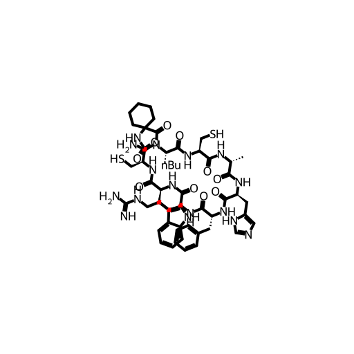 CCCC[C@@H](C(=O)N[C@@H](CS)C(=O)N[C@H](C)C(=O)N[C@@H](Cc1cnc[nH]1)C(=O)N[C@H](Cc1ccccc1)C(=O)N[C@@H](CCCNC(=N)N)C(=O)N[C@@H](Cc1c[nH]c2ccccc12)C(=O)N[C@@H](CS)C(N)=O)N1C(=O)NC2(CCCCC2)C1=O